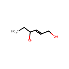 O=C(O)CC(O)C=CCO